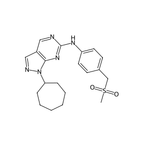 CS(=O)(=O)Cc1ccc(Nc2ncc3cnn(C4CCCCCC4)c3n2)cc1